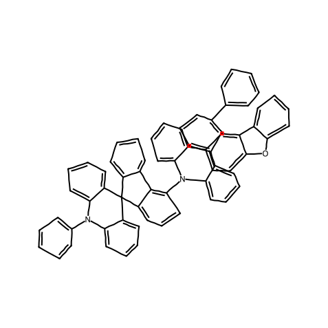 c1ccc(-c2cccc(-c3ccccc3N(c3ccccc3-c3ccc4oc5ccccc5c4c3)c3cccc4c3-c3ccccc3C43c4ccccc4N(c4ccccc4)c4ccccc43)c2)cc1